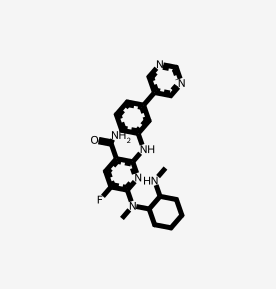 CNC1CCCCC1N(C)c1nc(Nc2cccc(-c3cncnc3)c2)c(C(N)=O)cc1F